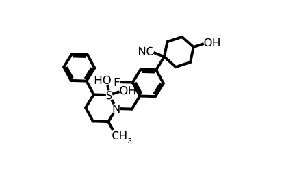 CC1CCC(c2ccccc2)S(O)(O)N1Cc1ccc(C2(C#N)CCC(O)CC2)cc1F